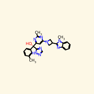 Cc1cccc([C@@](O)(c2cc(N3CC(c4nc5ccccc5n4C)C3)nc(C)n2)c2ncn[nH]2)c1